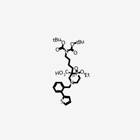 CCOP1(=O)CCN(Cc2ccccc2-c2cccs2)C[C@@]1(CCCCN(C(=O)OC(C)(C)C)C(=O)OC(C)(C)C)C(=O)O